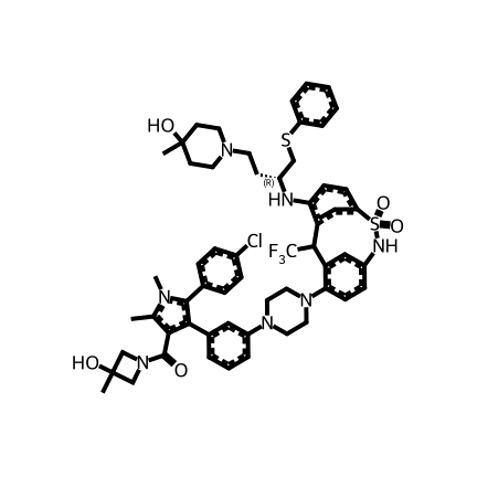 Cc1c(C(=O)N2CC(C)(O)C2)c(-c2cccc(N3CCN(c4ccc5cc4C(C(F)(F)F)c4cc(ccc4N[C@H](CCN4CCC(C)(O)CC4)CSc4ccccc4)S(=O)(=O)N5)CC3)c2)c(-c2ccc(Cl)cc2)n1C